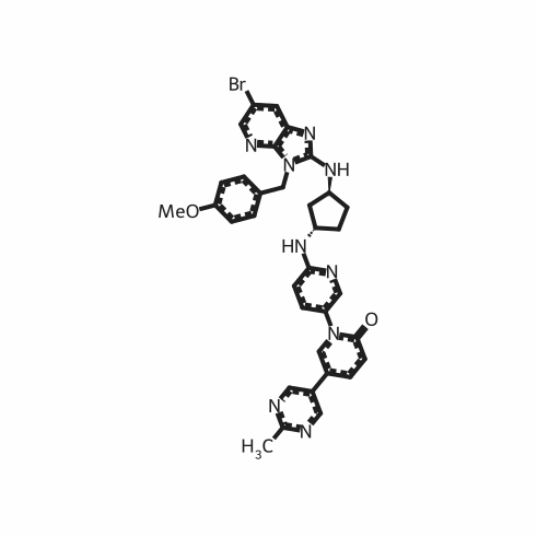 COc1ccc(Cn2c(N[C@H]3CC[C@H](Nc4ccc(-n5cc(-c6cnc(C)nc6)ccc5=O)cn4)C3)nc3cc(Br)cnc32)cc1